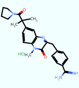 Cl.Cn1c(=O)c(Cc2ccc(C(=N)N)cc2)nc2cc(C(C)(C)C(=O)N3CCCC3)ccc21